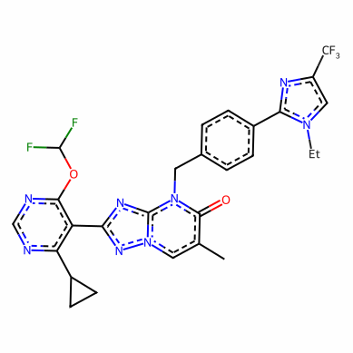 CCn1cc(C(F)(F)F)nc1-c1ccc(Cn2c(=O)c(C)cn3nc(-c4c(OC(F)F)ncnc4C4CC4)nc23)cc1